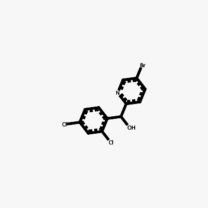 OC(c1ccc(Br)cn1)c1ccc(Cl)cc1Cl